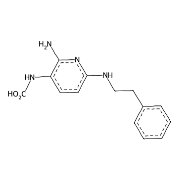 Nc1nc(NCCc2ccccc2)ccc1NC(=O)O